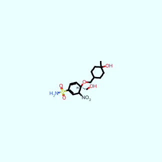 CC1(O)CCC(CO[C@]2(CO)C=CC(S(N)(=O)=O)=CC2[N+](=O)[O-])CC1